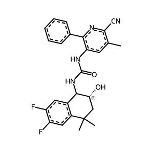 Cc1cc(NC(=O)NC2c3cc(F)c(F)cc3C(C)(C)C[C@H]2O)c(-c2ccccc2)nc1C#N